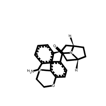 NCc1cccc([C@@H]2C[C@H]3CC[C@@H](C2)N3C(=O)c2ccc3c(c2)OCCO3)c1